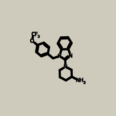 NC1CCCN(c2nc3ccccc3n2Cc2ccc(OC(F)(F)F)cc2)C1